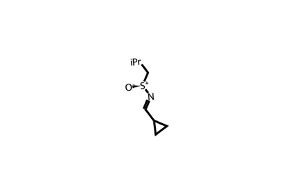 CC(C)C[S@+]([O-])/N=C/C1CC1